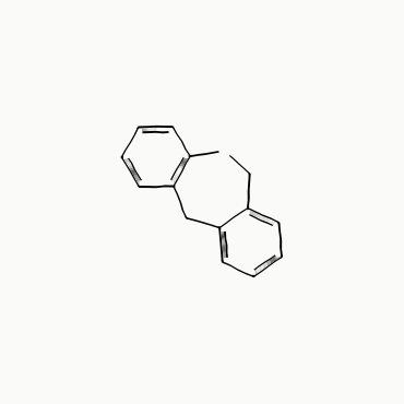 [c]1cccc2c1Cc1ccccc1CS2